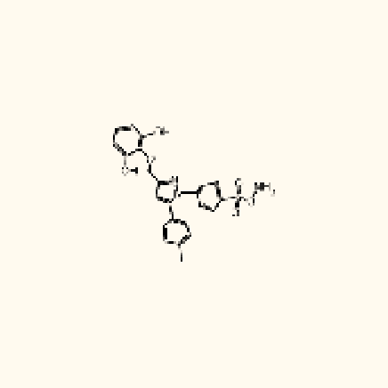 Cc1ccc(-c2cc(COc3c(O)cccc3O)nn2-c2ccc(S(=O)(=O)ON)cc2)cc1